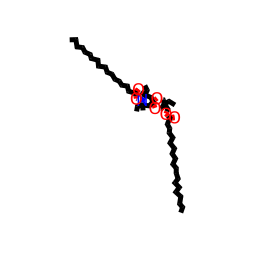 CCCCCCCCCCCCCCCCCCCC(=O)OCC1(CC)COC2(CC(C)(CC)N(OC(=O)CCCCCCCCCCCCCCCCC)C(C)(CC)C2)OC1